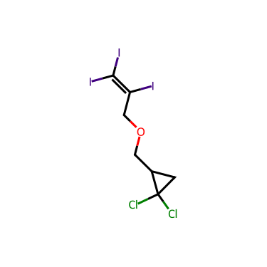 ClC1(Cl)CC1COCC(I)=C(I)I